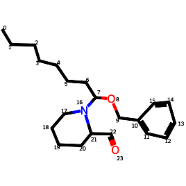 CCCCCCCC(OCc1ccccc1)N1CCCCC1C=O